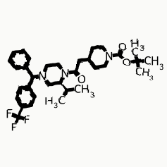 CC(C)[C@H]1CN(C(c2ccccc2)c2ccc(C(F)(F)F)cc2)CCN1C(=O)CC1CCN(C(=O)OC(C)(C)C)CC1